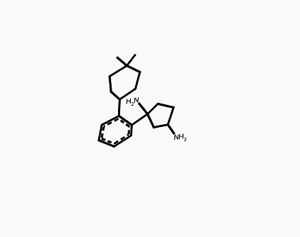 CC1(C)CCC(c2ccccc2C2(N)CCC(N)C2)CC1